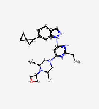 COCc1nc(N2CC(C)N(C3COC3)C(C)C2)cc(-n2ncc3ccc(C4CC45CC5)cc32)n1